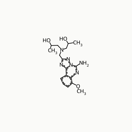 COc1cccc2c1nc(N)n1nc(CN(CC(C)O)CC(C)O)nc21